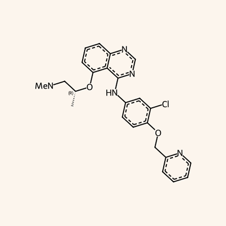 CNC[C@@H](C)Oc1cccc2ncnc(Nc3ccc(OCc4ccccn4)c(Cl)c3)c12